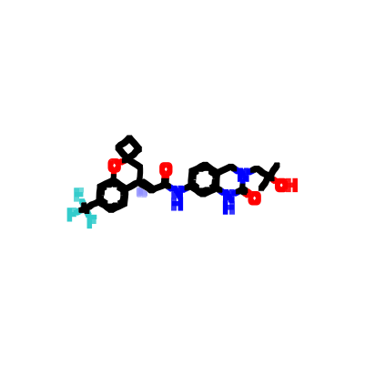 CC(C)(O)CN1Cc2ccc(NC(=O)/C=C3\CC4(CCC4)Oc4cc(C(F)(F)F)ccc43)cc2NC1=O